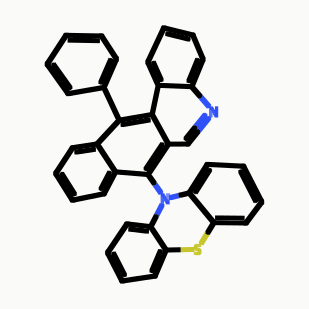 c1ccc(-c2c3ccccc3c(N3c4ccccc4Sc4ccccc43)c3cnc4ccccc4c23)cc1